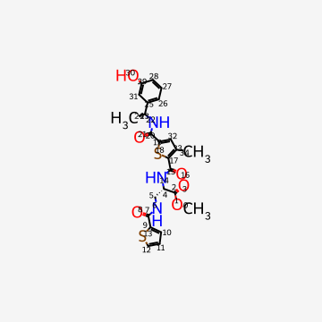 COC(=O)[C@H](CNC(=O)c1cccs1)NC(=O)c1sc(C(=O)NC(C)c2cccc(O)c2)cc1C